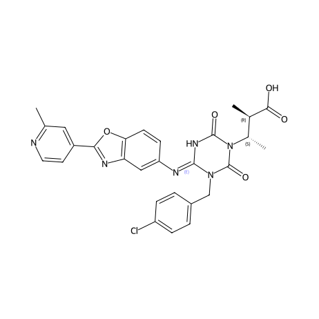 Cc1cc(-c2nc3cc(/N=c4\[nH]c(=O)n([C@@H](C)[C@@H](C)C(=O)O)c(=O)n4Cc4ccc(Cl)cc4)ccc3o2)ccn1